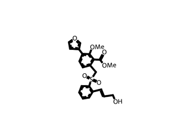 COC(=O)c1c(CS(=O)(=O)c2ccccc2C=CCO)ccc(-c2ccoc2)c1OC